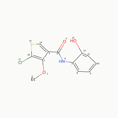 CCOc1c(C(=O)Nc2ccccc2O)csc1Cl